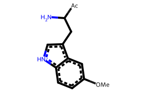 COc1ccc2[nH]cc(CC(N)C(C)=O)c2c1